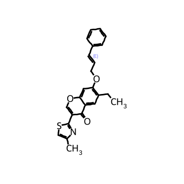 CCc1cc2c(=O)c(-c3nc(C)cs3)coc2cc1OC/C=C/c1ccccc1